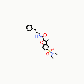 CCN(CC)S(=O)(=O)c1ccc2oc(C(=O)NCCCc3ccccc3)c(C)c2c1